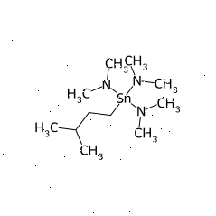 CC(C)C[CH2][Sn]([N](C)C)([N](C)C)[N](C)C